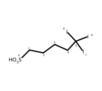 O=S(=O)(O)CCCCC(I)(I)I